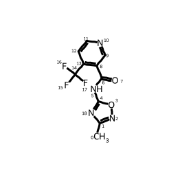 Cc1noc(NC(=O)c2cnccc2C(F)(F)F)n1